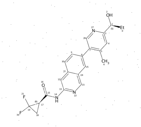 CC[C@H](O)c1cc(C)c(-c2ccc3cc(NC(=O)[C@H]4CC4(F)F)ncc3c2)cn1